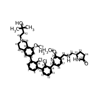 COc1cc(-c2cccc(-c3cccc(-c4ccc(CNC[C@H]5CCC(=O)N5)c(OC)n4)c3Cl)c2Cl)cc2c1CN(CCC(C)(C)O)CC2